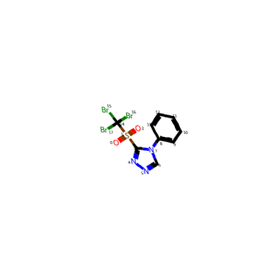 O=S(=O)(c1nncn1-c1ccccc1)C(Br)(Br)Br